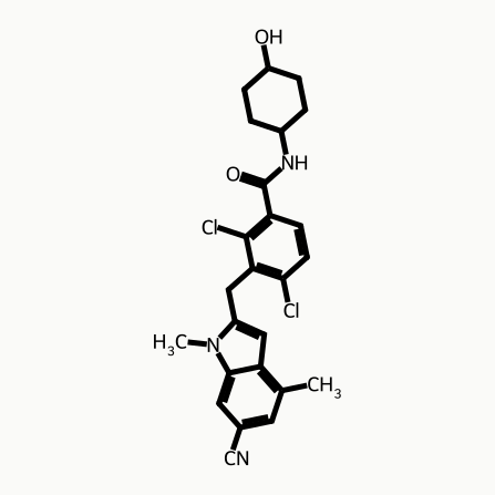 Cc1cc(C#N)cc2c1cc(Cc1c(Cl)ccc(C(=O)NC3CCC(O)CC3)c1Cl)n2C